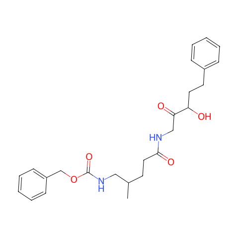 CC(CCC(=O)NCC(=O)C(O)CCc1ccccc1)CNC(=O)OCc1ccccc1